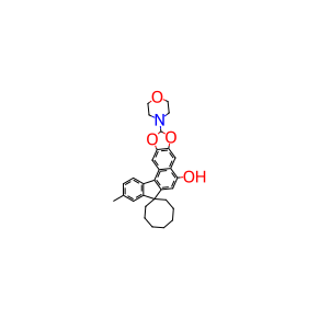 Cc1ccc2c(c1)C1(CCCCCCC1)c1cc(O)c3cc4c(cc3c1-2)OC(N1CCOCC1)O4